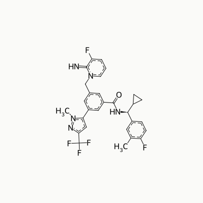 Cc1cc([C@@H](NC(=O)c2cc(Cn3cccc(F)c3=N)cc(-c3cc(C(F)(F)F)nn3C)c2)C2CC2)ccc1F